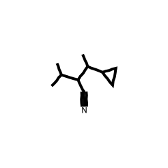 CC(C)C(C#N)C(C)C1CC1